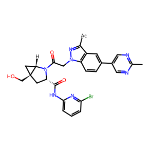 CC(=O)c1nn(CC(=O)N2[C@H]3C[C@@]3(CO)C[C@H]2C(=O)Nc2cccc(Br)n2)c2ccc(-c3cnc(C)nc3)cc12